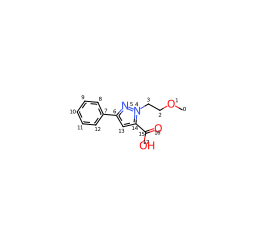 COCCn1nc(-c2ccccc2)cc1C(=O)O